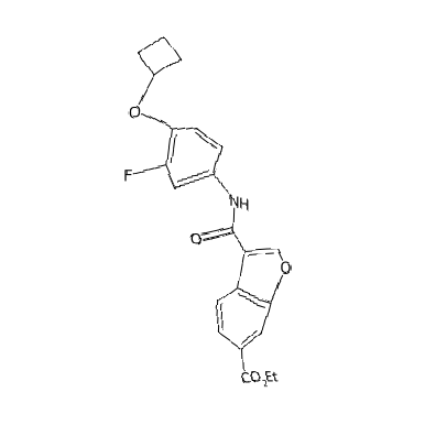 CCOC(=O)c1ccc2c(C(=O)Nc3ccc(OC4CCC4)c(F)c3)coc2c1